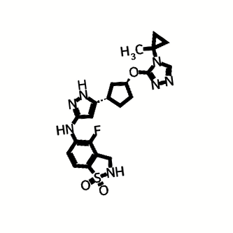 CC1(n2cnnc2O[C@@H]2CC[C@H](c3cc(Nc4ccc5c(c4F)CNS5(=O)=O)n[nH]3)C2)CC1